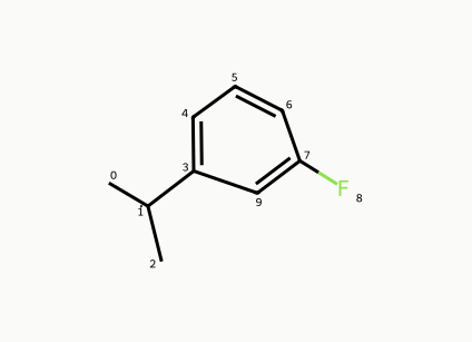 C[C](C)c1cccc(F)c1